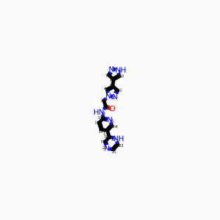 O=C(Cn1cc(-c2cn[nH]c2)cn1)Nc1ccc(C2C=NC=CN2)cn1